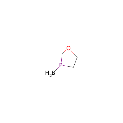 BP1CCOC1